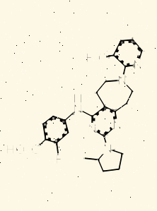 CC1CCCN1c1nc2c(c(Nc3ccc(C(=O)O)c(F)c3)n1)CCN(c1ncccc1C(F)(F)F)CC2